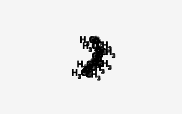 Cc1cccc(C(C)(C)c2ccc(OC(=O)Oc3ccc(C(C)(C)c4ccc(C)c(C)c4)cc3C)c(C)c2)c1